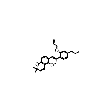 C=CCOc1cc(CCC)ccc1C1=Cc2ccc3c(c2OC1)C=CC(C)(C)O3